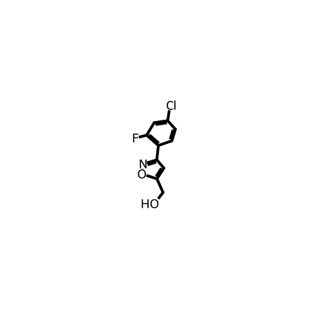 OCc1cc(-c2ccc(Cl)cc2F)no1